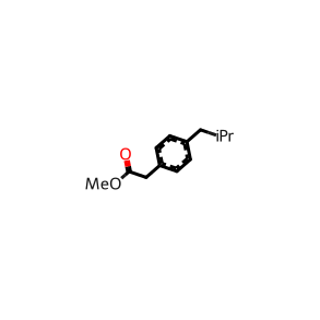 COC(=O)Cc1ccc(CC(C)C)cc1